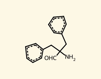 NC(C=O)(Cc1ccccc1)Cc1ccccc1